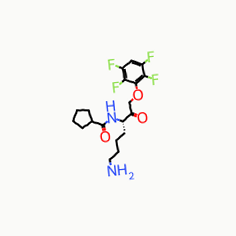 NCCCC[C@H](NC(=O)C1CCCC1)C(=O)COc1c(F)c(F)cc(F)c1F